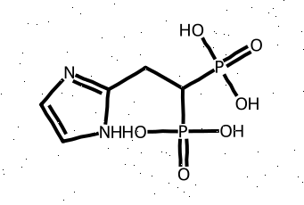 O=P(O)(O)C(Cc1ncc[nH]1)P(=O)(O)O